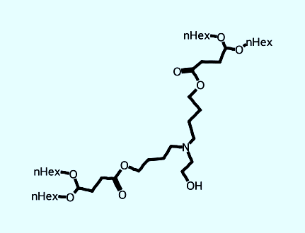 CCCCCCOC(CCC(=O)OCCCCN(CCO)CCCCOC(=O)CCC(OCCCCCC)OCCCCCC)OCCCCCC